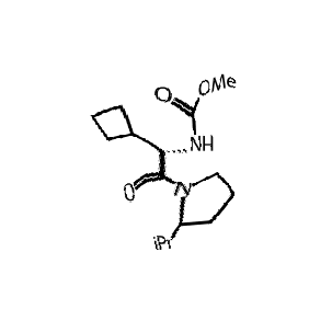 COC(=O)N[C@H](C(=O)N1CCCC1C(C)C)C1CCC1